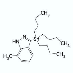 CCC[CH2][Sn]([CH2]CCC)([CH2]CCC)[c]1n[nH]c2c(C)cccc12